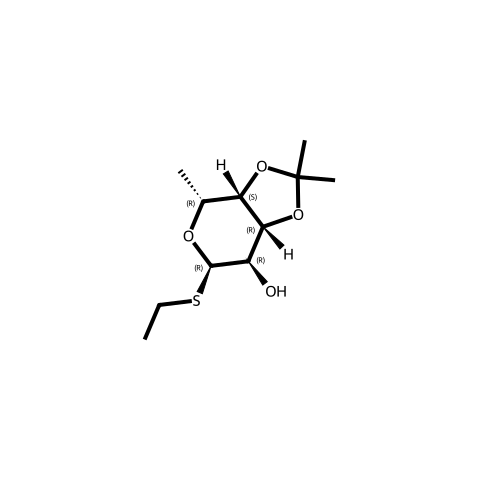 CCS[C@H]1O[C@H](C)[C@@H]2OC(C)(C)O[C@@H]2[C@H]1O